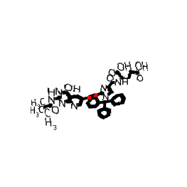 CC(C)(C)C(=O)Nc1nc(O)c2cc(C#Cc3nc(C(=O)N[C@H](CCC(=O)O)C(=O)O)cn3C(c3ccccc3)(c3ccccc3)c3ccccc3)cnc2n1